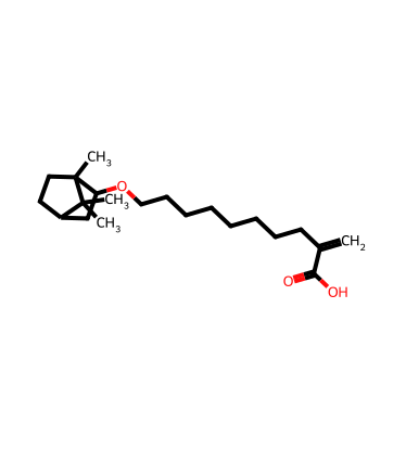 C=C(CCCCCCCCOC1CC2CCC1(C)C2(C)C)C(=O)O